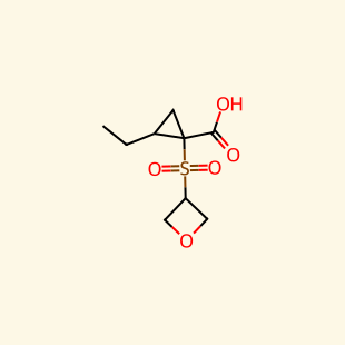 CCC1CC1(C(=O)O)S(=O)(=O)C1COC1